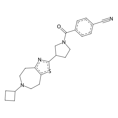 N#Cc1ccc(C(=O)N2CCC(c3nc4c(s3)CCN(C3CCC3)CC4)C2)cc1